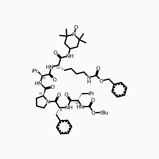 CC(C)C[C@H](NC(=O)OC(C)(C)C)C(=O)N[C@H](Cc1ccccc1)C(=O)N1CCC[C@H]1C(=O)N[C@H](C(=O)N[C@@H](CCCCNC(=O)OCc1ccccc1)C(=O)NC1CC(C)(C)N([O])C(C)(C)C1)C(C)C